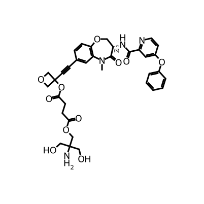 CN1C(=O)[C@@H](NC(=O)c2cc(Oc3ccccc3)ccn2)COc2ccc(C#CC3(OC(=O)CCC(=O)OCC(N)(CO)CO)COC3)cc21